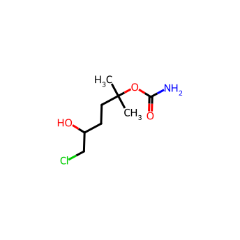 CC(C)(CCC(O)CCl)OC(N)=O